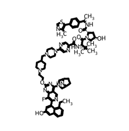 CCc1cccc2cc(O)cc(-c3ncc4c(N5CC6CCC(C5)N6)nc(OCCN5CCC(CN6CCN(c7cnc(C(=O)N[C@H](C(=O)N8C[C@H](O)C[C@H]8C(=O)N[C@@H](C)c8ccc(-c9scnc9C)cc8)C(C)(C)C)cn7)CC6)CC5)nc4c3F)c12